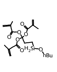 C=C(C)C(=O)OC(CC[SiH2]OCCCC)(OC(=O)C(=C)C)OC(=O)C(=C)C